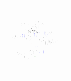 CNN1CC(NC)(NC)c2cc(C(CN3Cc4cc(OC)c(OC)c(F)c4C3=N)C(=O)C(CN3Cc4cc(OC)c(OC)c(F)c4C3=N)c3ccc4c(c3)C(NC)(NC)CN4NC)ccc21